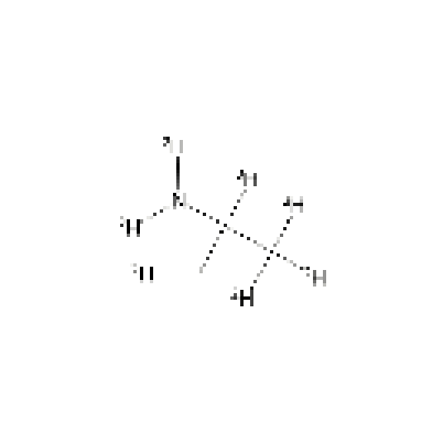 [2H]CC([2H])(N([2H])[2H])C([2H])([2H])[2H]